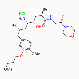 COCCCOc1cc(C[C@@H](C[C@H](N)[C@@H](O)C[C@H](C(=O)NCC(=O)N2CCOCC2)C(C)C)C(C)C)ccc1OC.Cl